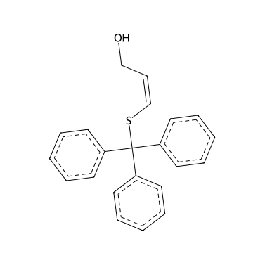 OC/C=C\SC(c1ccccc1)(c1ccccc1)c1ccccc1